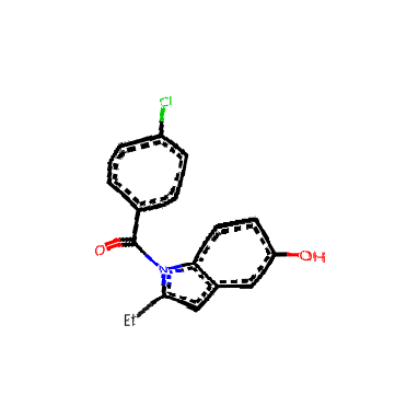 CCc1cc2cc(O)ccc2n1C(=O)c1ccc(Cl)cc1